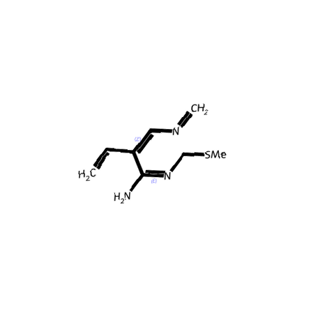 C=CC(=C/N=C)/C(N)=N\CSC